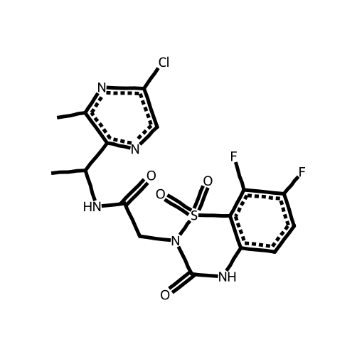 Cc1nc(Cl)cnc1C(C)NC(=O)CN1C(=O)Nc2ccc(F)c(F)c2S1(=O)=O